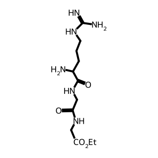 CCOC(=O)CNC(=O)CNC(=O)C(N)CCCNC(=N)N